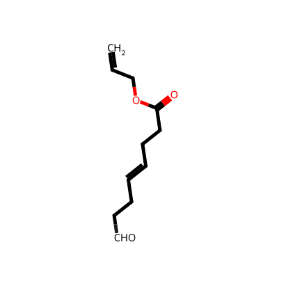 C=CCOC(=O)CCC=CCCC=O